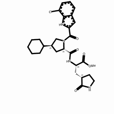 COC(=O)[C@H](C[C@@H]1CCNC1=O)NC(=O)[C@@H]1C[C@@H](C2CCCCC2)CN1C(=O)c1cc2cccc(Cl)c2[nH]1